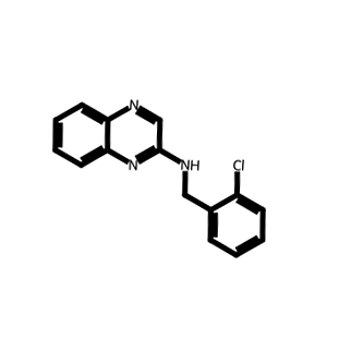 Clc1ccccc1CNc1cnc2ccccc2n1